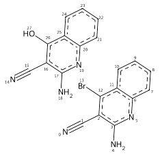 N#Cc1c(N)nc2ccccc2c1Br.N#Cc1c(N)nc2ccccc2c1O